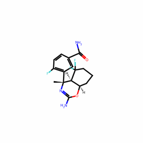 C[C@]1(c2cc(C(N)=O)ccc2F)N=C(N)O[C@@H]2CCCC(F)(F)[C@@H]21